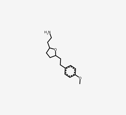 COc1ccc(CCC2CCC(CCN)O2)cc1